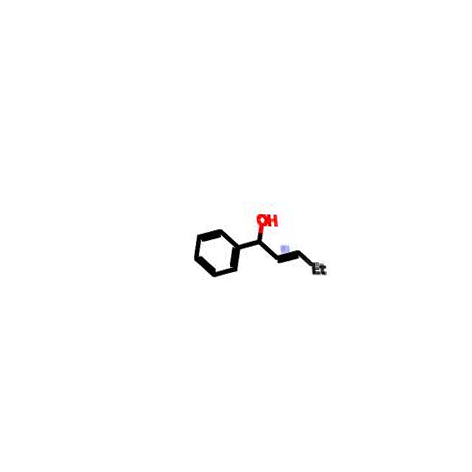 CC/C=C/C(O)c1ccccc1